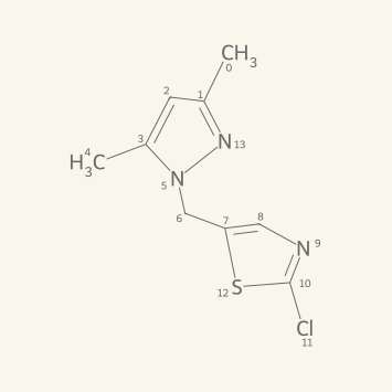 Cc1cc(C)n(Cc2cnc(Cl)s2)n1